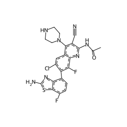 CC(=O)Nc1nc2c(F)c(-c3ccc(F)c4sc(N)nc34)c(Cl)cc2c(N2CCNCC2)c1C#N